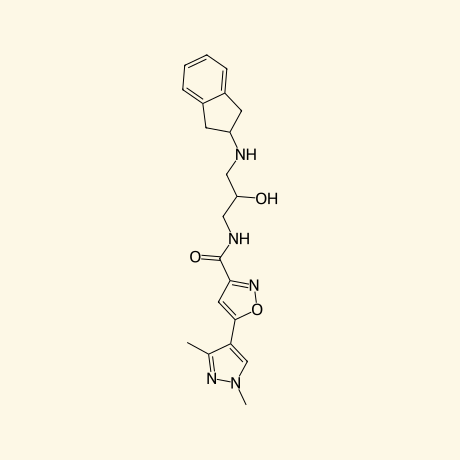 Cc1nn(C)cc1-c1cc(C(=O)NCC(O)CNC2Cc3ccccc3C2)no1